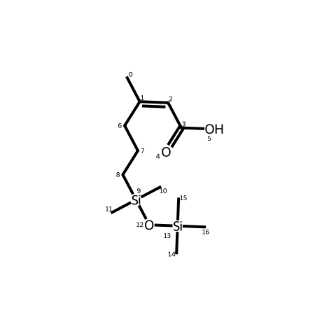 CC(=CC(=O)O)CCC[Si](C)(C)O[Si](C)(C)C